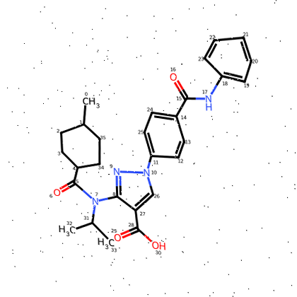 CC1CCC(C(=O)N(c2nn(-c3ccc(C(=O)Nc4ccccc4)cc3)cc2C(=O)O)C(C)C)CC1